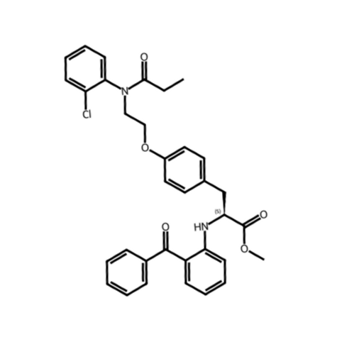 CCC(=O)N(CCOc1ccc(C[C@H](Nc2ccccc2C(=O)c2ccccc2)C(=O)OC)cc1)c1ccccc1Cl